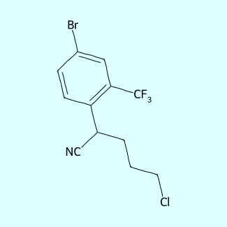 N#CC(CCCCl)c1ccc(Br)cc1C(F)(F)F